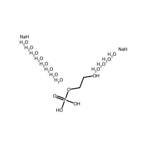 O.O.O.O.O.O.O.O.O.O.O.O.O=P(O)(O)OCCO.[NaH].[NaH]